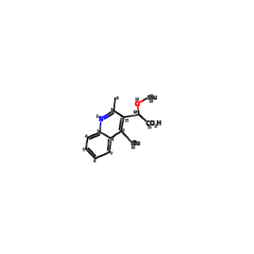 Cc1nc2ccccc2c(C(C)(C)C)c1C(OC(C)(C)C)C(=O)O